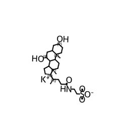 C[C@H](CCC(=O)NCCS(=O)(=O)[O-])[C@H]1CCC2C3C(CC[C@@]21C)[C@@]1(C)CC[C@@H](O)CC1C[C@@H]3O.[K+]